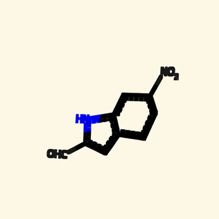 O=Cc1cc2ccc([N+](=O)[O-])cc2[nH]1